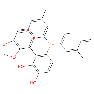 C=C/C(C)=C\C(=C/C)P(c1cc(C)cc(C)c1)c1ccc(O)c(O)c1-c1cccc2c1OCO2